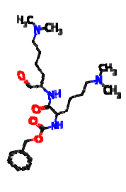 CN(C)CCCCC(C=O)NC(=O)C(CCCCN(C)C)NC(=O)OCc1ccccc1